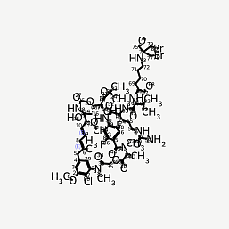 COc1cc(C/C(C)=C/C=C/[C@@H](OC)[C@@]2(O)C[C@@H]([C@@H](C)[C@@H]3OC3(C)C)OC(=O)N2)cc(N(C)C(=O)COC(=O)[C@H](C)N(C)C(=O)c2cc(F)c(NC(=O)[C@H](CCCNC(N)=O)NC(=O)[C@@H](NC(C=O)CCCCNC(C=O)(CBr)CBr)C(C)C)cc2F)c1Cl